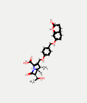 CC(O)[C@H]1C(=O)N2C(C(=O)O)=C(COc3ccc(COc4ccc5ccc(=O)oc5c4)cc3)[C@H](C)[C@H]12